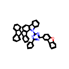 c1ccc(-c2nc(-c3ccc4oc5ccccc5c4c3)nc(-n3c4ccccc4c4ccc5c(c43)-c3ccccc3C53c4ccccc4-c4ccccc43)n2)cc1